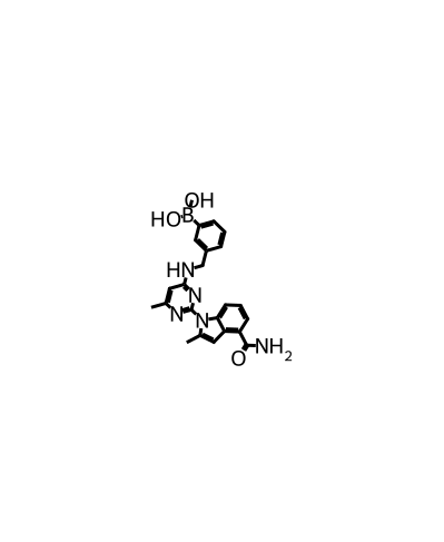 Cc1cc(NCc2cccc(B(O)O)c2)nc(-n2c(C)cc3c(C(N)=O)cccc32)n1